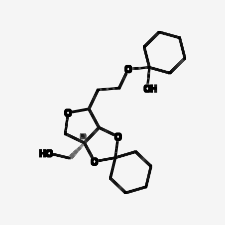 OC[C@]12COC(CCOC3(O)CCCCC3)C1OC1(CCCCC1)O2